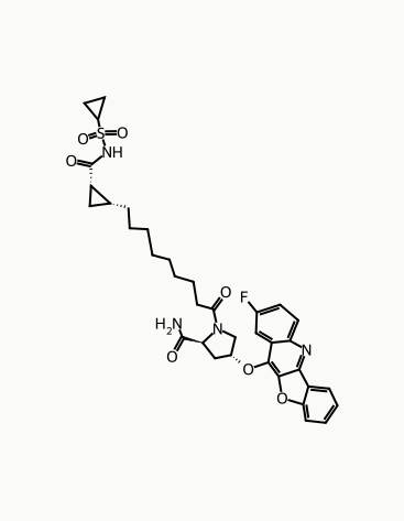 NC(=O)[C@@H]1C[C@@H](Oc2c3cc(F)ccc3nc3c2oc2ccccc23)CN1C(=O)CCCCCCCC[C@@H]1C[C@@H]1C(=O)NS(=O)(=O)C1CC1